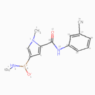 Cn1cc([S+]([O-])NC(C)(C)C)cc1C(=O)Nc1cccc(C#N)c1